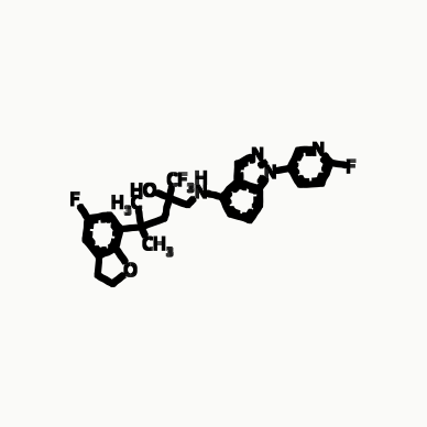 CC(C)(CC(O)(CNc1cccc2c1cnn2-c1ccc(F)nc1)C(F)(F)F)c1cc(F)cc2c1OCC2